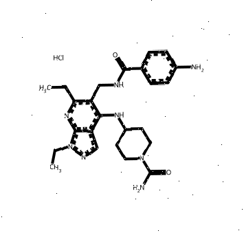 CCc1nc2c(cnn2CC)c(NC2CCN(C(N)=O)CC2)c1CNC(=O)c1ccc(N)cc1.Cl